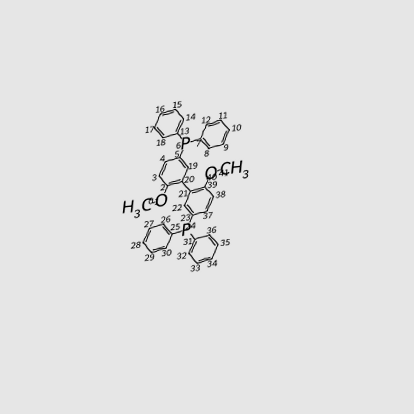 COc1ccc(P(c2ccccc2)c2ccccc2)cc1-c1cc(P(c2ccccc2)c2ccccc2)ccc1OC